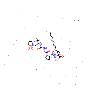 CCCCCCCCC1C[C@]1(NC(=O)[C@@H]1CCCN1C(=O)CNC(=O)NC(CN1CCCS1(=O)=O)C(C)(C)C)C(=O)O